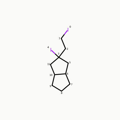 ICCC1(I)CC2CCCC2C1